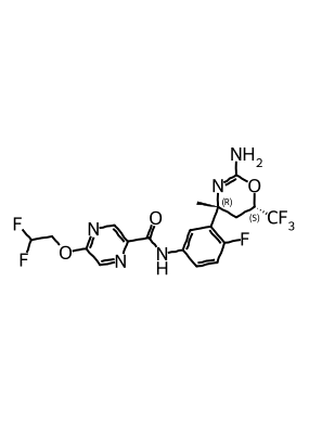 C[C@]1(c2cc(NC(=O)c3cnc(OCC(F)F)cn3)ccc2F)C[C@@H](C(F)(F)F)OC(N)=N1